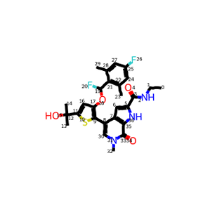 CCNC(=O)c1cc2c(-c3sc(C(C)(C)O)cc3OC(F)c3c(C)cc(F)cc3C)cn(C)c(=O)c2[nH]1